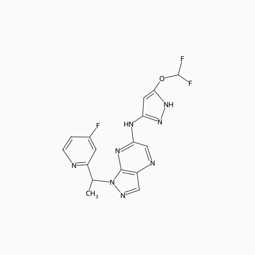 CC(c1cc(F)ccn1)n1ncc2ncc(Nc3cc(OC(F)F)[nH]n3)nc21